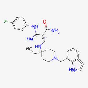 N#CCC1(N/C=C(\C(=N)Nc2ccc(F)cc2)C(N)=O)CCN(Cc2cccc3cc[nH]c23)CC1